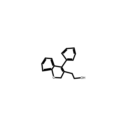 OCCC1=C(c2ccccc2)c2ccccc2OC1